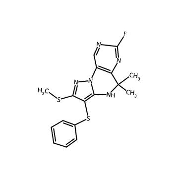 CSc1nn2c(c1Sc1ccccc1)NC(C)(C)c1nc(F)ncc1-2